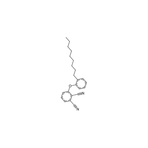 CCCCCCCCCc1ccccc1Oc1cccc(C#N)c1C#N